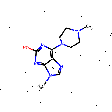 CN1CCN(c2nc(O)nc3c2ncn3C)CC1